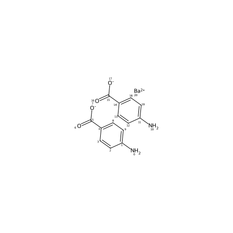 Nc1ccc(C(=O)[O-])cc1.Nc1ccc(C(=O)[O-])cc1.[Ba+2]